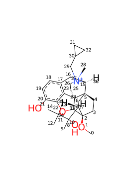 CO[C@]12CC[C@]3(C[C@H]1C(C)(O)C(C)(C)C)[C@@H]1Cc4ccc(O)c5c4[C@]3(CC[N@+]1(C)CC1CC1)[C@@H]2O5